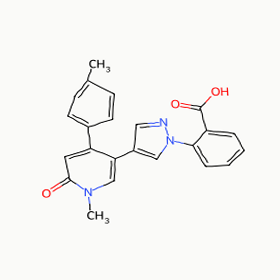 Cc1ccc(-c2cc(=O)n(C)cc2-c2cnn(-c3ccccc3C(=O)O)c2)cc1